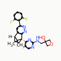 CC1(C)[C@H]2CC[C@]1(c1ccnc(NCC3(O)COC3)n1)c1nnc(-c3c(F)cccc3F)cc12